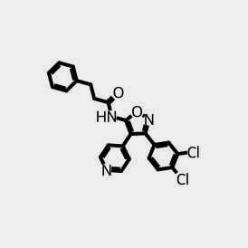 O=C(CCc1ccccc1)Nc1onc(-c2ccc(Cl)c(Cl)c2)c1-c1ccncc1